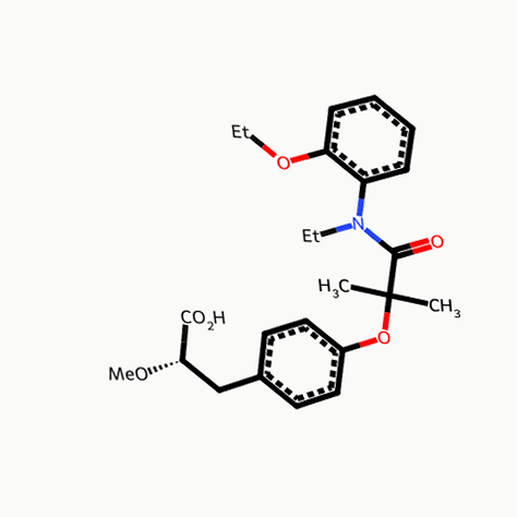 CCOc1ccccc1N(CC)C(=O)C(C)(C)Oc1ccc(C[C@H](OC)C(=O)O)cc1